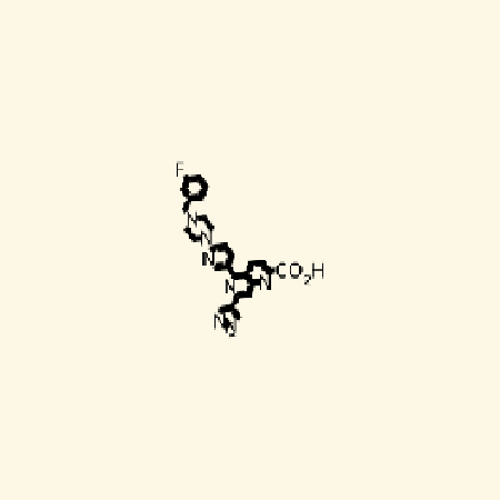 Cn1cc(-c2cc3nc(C(=O)O)ccc3c(-c3ccc(N4CCN(Cc5cccc(F)c5)CC4)nc3)n2)cn1